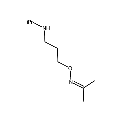 CC(C)=NOCCCNC(C)C